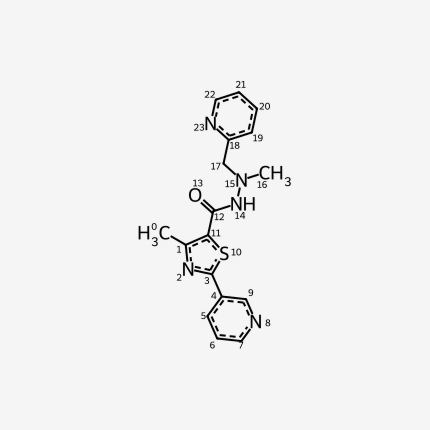 Cc1nc(-c2cccnc2)sc1C(=O)NN(C)Cc1ccccn1